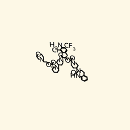 Nc1c(Cl)cc(C[C@@H](OC(=O)N2CCC(N3CCc4ccccc4NC3=O)CC2)C(=O)N2CCC(N3CCCC[C@@H]3C(=O)OCCN3CCOCC3)CC2)cc1C(F)(F)F